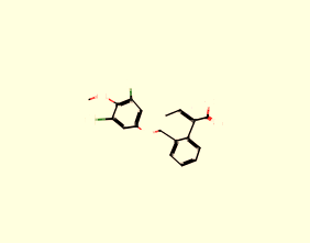 C/C=C(/C(=O)O)c1ccccc1COc1cc(Cl)c(OC)c(Cl)c1